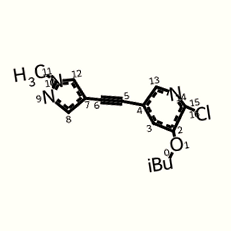 CCC(C)Oc1cc(C#Cc2cnn(C)c2)cnc1Cl